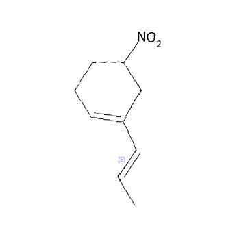 C/C=C/C1=CCCC([N+](=O)[O-])C1